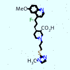 COc1ccc2nccc([C@@H](F)CC[C@@H]3CCN(CCCSc4nccn4C)C[C@@H]3C(=O)O)c2c1